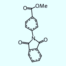 COC(=O)c1ccc(N2C(=O)c3ccccc3C2=O)cc1